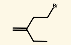 C=C(CC)CCBr